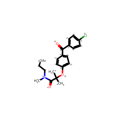 CC(=O)OCCN(C)C(=O)C(C)(C)Oc1ccc(C(=O)c2ccc(Cl)cc2)cc1